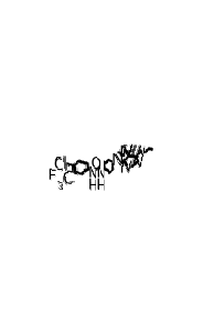 C=CCNc1ncnc2c1ncn2-c1ccc(NC(=O)Nc2ccc(Cl)c(C(F)(F)F)c2)cc1